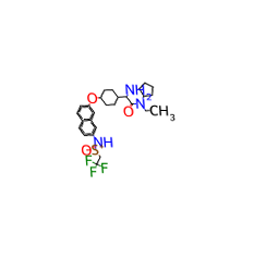 CCN(C(=O)C(N)C1CCC(Oc2ccc3ccc(N[S+]([O-])CC(F)(F)F)cc3c2)CC1)C1CCCC1